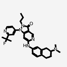 CCCn1c(=O)c2cnc(Nc3ccc4c(c3)CC(N(C)C)CC4)cc2n1-c1ccnc(C(C)(C)F)c1